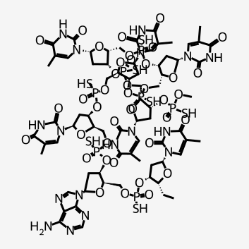 CC[C@H]1O[C@@H](n2cc(C)c(=O)[nH]c2=O)C[C@H]1OP(=O)(S)OC[C@H]1O[C@@H](n2cnc3c(N)ncnc32)C[C@H]1OP(=O)(S)OC[C@H]1O[C@@H](n2cc(C)c(=O)[nH]c2=O)C[C@H]1OP(=O)(S)OC[C@H]1O[C@@H](n2cc(C)c(=O)[nH]c2=O)C[C@H]1OP(=O)(S)OC[C@H]1O[C@@H](n2cc(C)c(=O)[nH]c2=O)C[C@H]1OP(=O)(S)OC[C@H]1O[C@@H](n2cc(C)c(=O)[nH]c2=O)C[C@H]1OP(=O)(S)OC[C@H]1O[C@@H](n2cc(C)c(=O)[nH]c2=O)C[C@H]1OP(=O)(S)OC